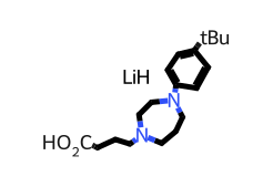 CC(C)(C)c1ccc(N2CCCN(CCCC(=O)O)CC2)cc1.[LiH]